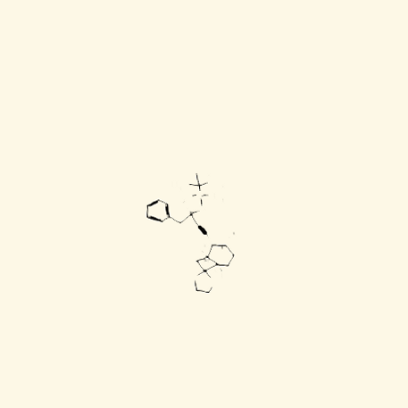 CC(C)(C)[Si](C)(C)O[C@@](C)(C#C[C@@H]1[C@H]2CC3(OCCO3)[C@H]2CC[C@H]1O)Cc1ccccc1